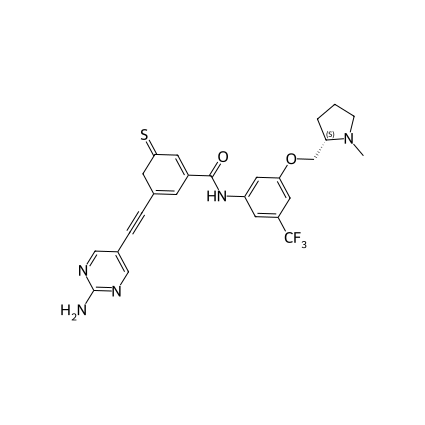 CN1CCC[C@H]1COc1cc(NC(=O)C2=CC(=S)CC(C#Cc3cnc(N)nc3)=C2)cc(C(F)(F)F)c1